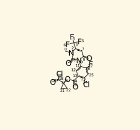 Cn1c(C(F)(F)F)cc(=O)n(-c2cc(C(=O)OC3(C(=O)Cl)CC3)c(Cl)cc2F)c1=O